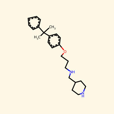 CC(C)(c1ccccc1)c1ccc(OCCCNCC2CCNCC2)cc1